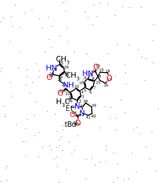 CCN(c1cc(-c2ccc3c(c2)NC(=O)C32CCOCC2)cc(C(=O)NCc2c(C)cc(C)[nH]c2=O)c1C)C1CCCCN1C(=O)OC(C)(C)C